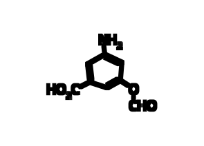 Nc1cc(OC=O)cc(C(=O)O)c1